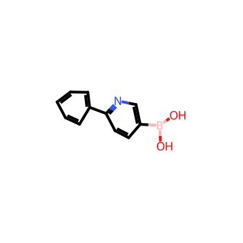 OB(O)c1ccc(-c2ccccc2)nc1